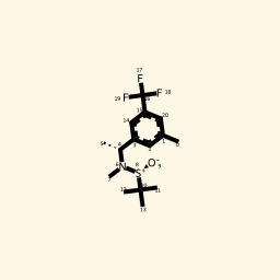 Cc1cc([C@@H](C)N(C)[S@@+]([O-])C(C)(C)C)cc(C(F)(F)F)c1